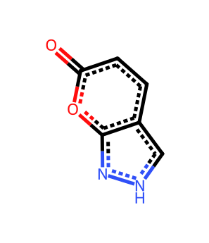 O=c1ccc2c[nH]nc2o1